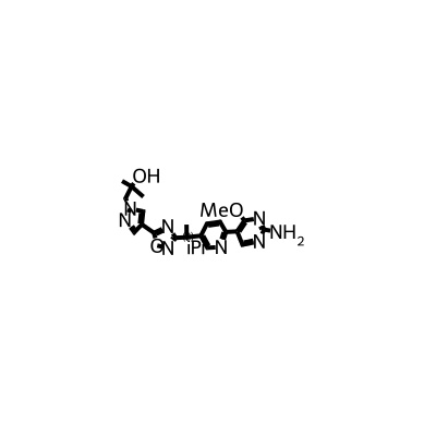 COc1nc(N)ncc1-c1ccc([C@](C)(c2noc(-c3cnn(CC(C)(C)O)c3)n2)C(C)C)cn1